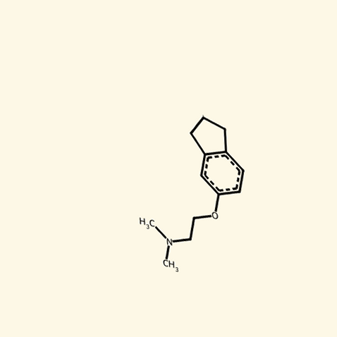 CN(C)CCOc1ccc2c(c1)C[CH]C2